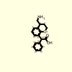 NCC1CCOc2c1cccc2C(C(=O)O)c1ccccc1